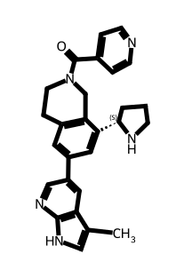 Cc1c[nH]c2ncc(-c3cc4c(c([C@@H]5CCCN5)c3)CN(C(=O)c3ccncc3)CC4)cc12